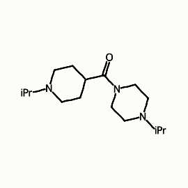 CC(C)N1CCC(C(=O)N2CCN(C(C)C)CC2)CC1